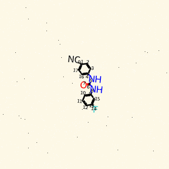 N#Cc1ccc(NC(=O)Nc2cccc(F)c2)cc1